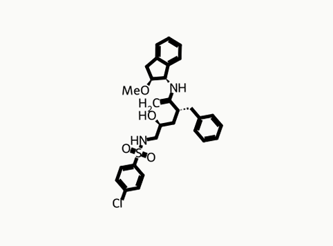 C=C(N[C@H]1c2ccccc2C[C@@H]1OC)[C@H](Cc1ccccc1)C[C@H](O)CNS(=O)(=O)c1ccc(Cl)cc1